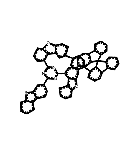 c1ccc2c(c1)-c1ccccc1C21c2ccccc2-c2cccc(-c3ccc(-c4ccc5oc6cccc(-c7nc(-c8ccc9c(c8)sc8ccccc89)nc(-c8cccc9oc%10ccccc%10c89)n7)c6c5c4)cc3)c21